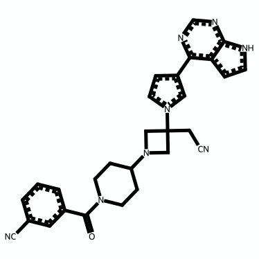 N#CCC1(n2ccc(-c3ncnc4[nH]ccc34)c2)CN(C2CCN(C(=O)c3cccc(C#N)c3)CC2)C1